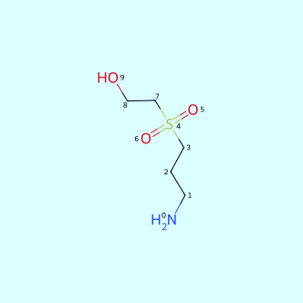 NCCCS(=O)(=O)CCO